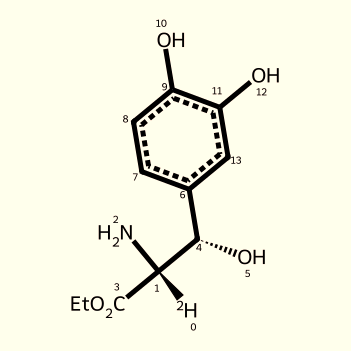 [2H][C@](N)(C(=O)OCC)[C@@H](O)c1ccc(O)c(O)c1